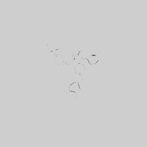 CC(C)Oc1cccc(CN2CCC3(CC2)C(NC2CCN(S(C)(=O)=O)C2)=NC(=O)N3c2cccc(F)c2)c1